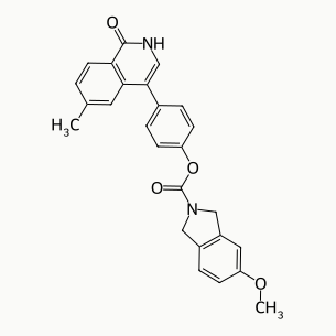 COc1ccc2c(c1)CN(C(=O)Oc1ccc(-c3c[nH]c(=O)c4ccc(C)cc34)cc1)C2